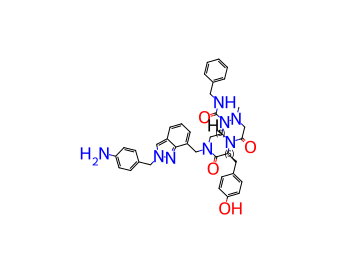 CN1CC(=O)N2[C@@H](Cc3ccc(O)cc3)C(=O)N(Cc3cccc4cn(Cc5ccc(N)cc5)nc34)C[C@@H]2N1C(=O)NCc1ccccc1